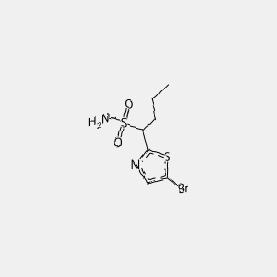 CCCC(c1ncc(Br)s1)S(N)(=O)=O